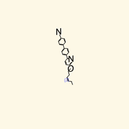 CC/C=C\CCOc1ccc(-c2ccc(-c3ccc(C#N)cc3)cc2)nc1